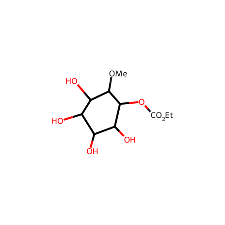 CCOC(=O)OC1C(O)C(O)C(O)C(O)C1OC